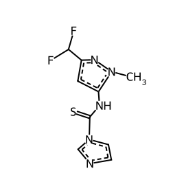 Cn1nc(C(F)F)cc1NC(=S)n1ccnc1